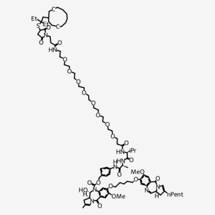 CCCCCC1=CN2C(=O)c3cc(OC)c(OCCCCCOc4cc5c(cc4OC)C(=O)N4C=C(C)C[C@H]4[C@H](O)N5C(=O)OCc4ccc(NC(=O)[C@H](C)NC(=O)[C@@H](NC(=O)CCOCCOCCOCCOCCOCCOCCOCCOCCNC(=O)CCN5C(=O)CC(SC(CC)(CC)CC6CCCCCCCCCCC6)C5=O)C(C)C)cc4)cc3N=C[C@@H]2C1